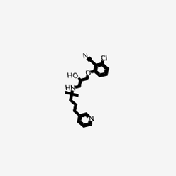 CC(C)(CCCc1cccnc1)NCC(O)COc1cccc(Cl)c1C#N